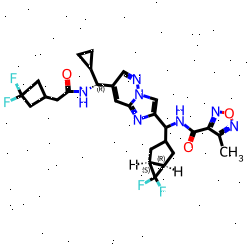 Cc1nonc1C(=O)NC(c1cn2ncc([C@H](NC(=O)CC3CC(F)(F)C3)C3CC3)cc2n1)C1C[C@@H]2[C@H](C1)C2(F)F